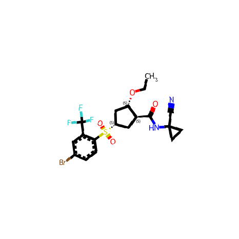 CCO[C@H]1C[C@@H](S(=O)(=O)c2ccc(Br)cc2C(F)(F)F)C[C@@H]1C(=O)NC1(C#N)CC1